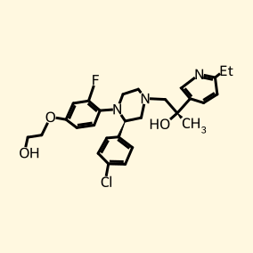 CCc1ccc([C@](C)(O)CN2CCN(c3ccc(OCCO)cc3F)[C@H](c3ccc(Cl)cc3)C2)cn1